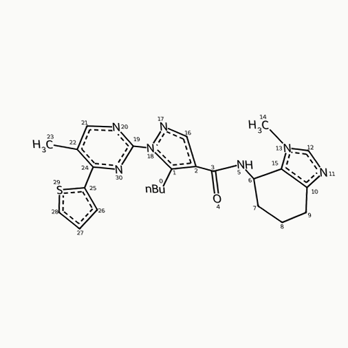 CCCCc1c(C(=O)NC2CCCc3ncn(C)c32)cnn1-c1ncc(C)c(-c2cccs2)n1